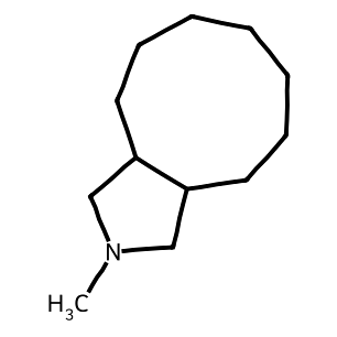 CN1CC2CCCCCCCC2C1